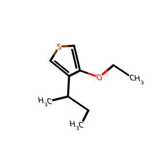 CCOc1cscc1C(C)CC